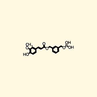 COc1cc(/C=C/C(=O)OCc2cccc(CON(O)O)c2)ccc1O